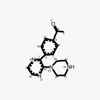 CC(=O)c1ccc(-c2nccnc2N2CCNCC2)cc1